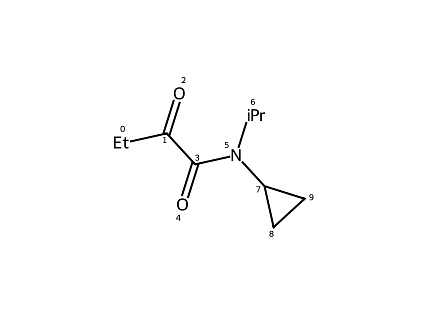 CCC(=O)C(=O)N(C(C)C)C1CC1